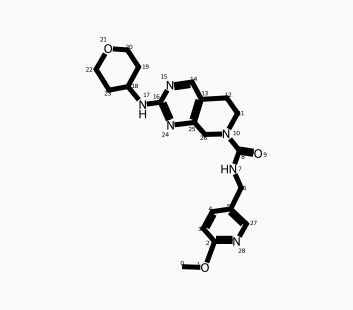 COc1ccc(CNC(=O)N2CCc3cnc(NC4CCOCC4)nc3C2)cn1